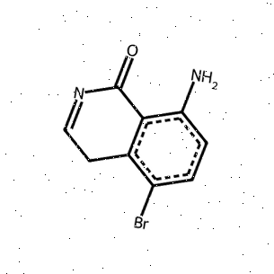 Nc1ccc(Br)c2c1C(=O)N=CC2